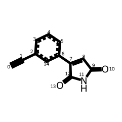 C#Cc1cccc(C2=CC(=O)NC2=O)c1